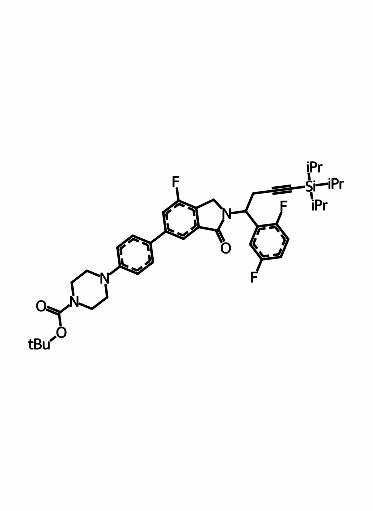 CC(C)[Si](C#CCC(c1cc(F)ccc1F)N1Cc2c(F)cc(-c3ccc(N4CCN(C(=O)OC(C)(C)C)CC4)cc3)cc2C1=O)(C(C)C)C(C)C